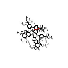 Cc1cc2c3c(c1)N(c1ccc(C(C)(C)C)cc1-c1ccc(C(C)(C)C)cc1)c1cc4c(cc1B3C1=C(C3C=C5C(=CC3S1)C(C)(C)CCC5(C)C)N2c1ccc(C(C)(C)C)cc1)C(C)(C)CCC4(C)C